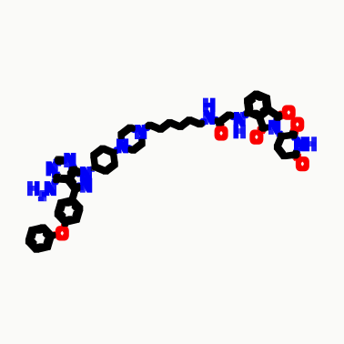 Nc1ncnc2c1c(-c1ccc(Oc3ccccc3)cc1)nn2[C@H]1CC[C@H](N2CCN(CCCCCCNC(=O)CNc3cccc4c3C(=O)N(C3CCC(=O)NC3=O)C4=O)CC2)CC1